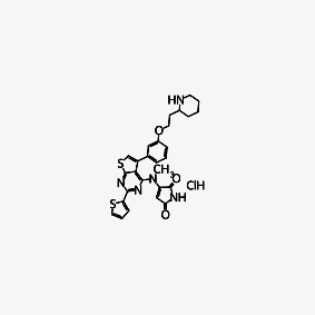 CN(C1=CC(=O)NC1=O)c1nc(-c2cccs2)nc2scc(-c3cccc(OCCC4CCCCN4)c3)c12.Cl